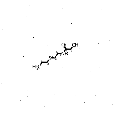 CCCSCCNC(=O)CC